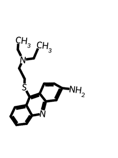 CCN(CC)CCSc1c2ccccc2nc2cc(N)ccc12